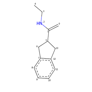 C=C(NCC)C1Cc2ccccc2C1